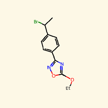 CCOc1nc(-c2ccc(C(C)Br)cc2)no1